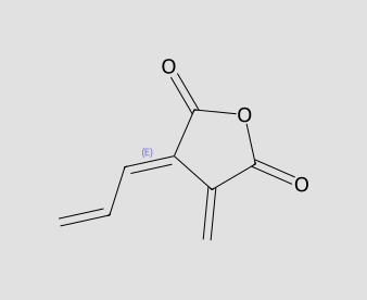 C=C/C=C1\C(=C)C(=O)OC1=O